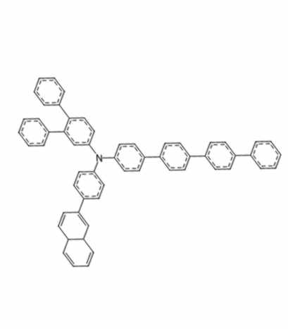 C1=CC2C=CC(c3ccc(N(c4ccc(-c5ccc(-c6ccc(-c7ccccc7)cc6)cc5)cc4)c4ccc(-c5ccccc5)c(-c5ccccc5)c4)cc3)=CC2C=C1